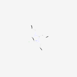 C=CCC1N(CC=C)C=CN1CC=C.Cl